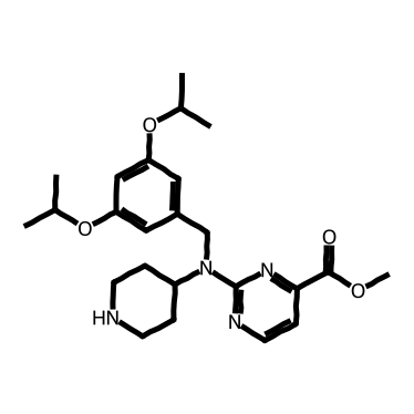 COC(=O)c1ccnc(N(Cc2cc(OC(C)C)cc(OC(C)C)c2)C2CCNCC2)n1